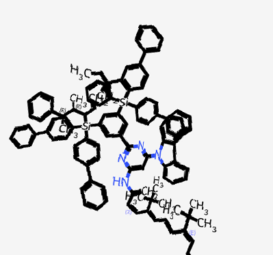 C=CC([C@H](C)[C@@H](C)c1ccccc1)[Si](c1ccc(-c2ccccc2)cc1)(c1ccc(-c2ccccc2)cc1)c1cc(-c2nc(NC(=C)/C=C\C(=CC=C/C(=C\CC)C(C)(C)C)C(C)(C)C)cc(-n3c4ccccc4c4ccccc43)n2)cc([Si](c2ccccc2)(c2ccc(-c3ccccc3)cc2)c2ccc(-c3ccccc3)cc2C(=C)CC)c1